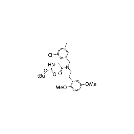 COc1ccc(OC)c(CCN(Cc2cc(C)cc(Cl)c2)C(=O)CNC(=O)OC(C)(C)C)c1